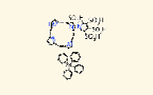 C1=Cc2cc3ccc(cc4nc(cc5ccc(cc1n2)[nH]5)C=C4)[nH]3.O=S(=O)(O)c1cnc(S(=O)(=O)O)c(S(=O)(=O)O)c1S(=O)(=O)O.c1cc[c]([Zn]([c]2ccccc2)([c]2ccccc2)[c]2ccccc2)cc1